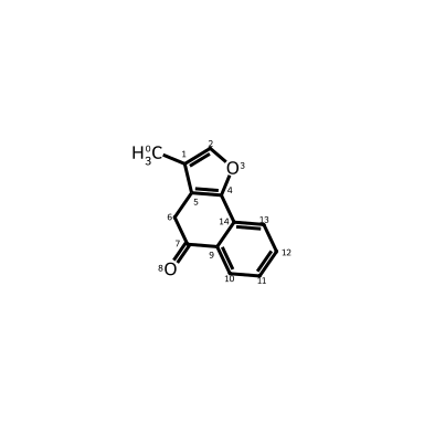 Cc1coc2c1CC(=O)c1ccccc1-2